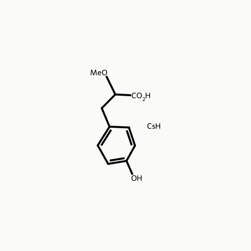 COC(Cc1ccc(O)cc1)C(=O)O.[CsH]